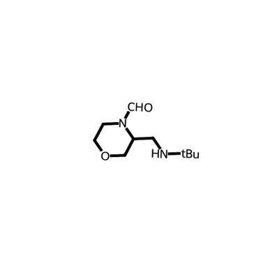 CC(C)(C)NCC1COCCN1C=O